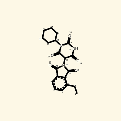 CCc1cccc2c1C(=O)N(C1C(=O)NC(=O)N(C3CCCCC3)C1=O)C2=O